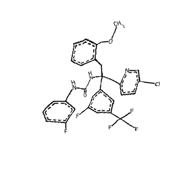 COc1ccccc1CC(NC(=O)Nc1cccc(F)c1)(c1cc(F)cc(C(F)(F)F)c1)c1ccc(Cl)cn1